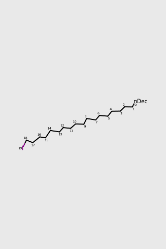 CCCCCCCCCCCCCCCCCCCCCCCCCCCCI